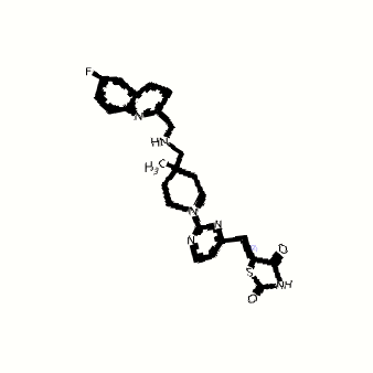 CC1(CNCc2ccc3cc(F)ccc3n2)CCN(c2nccc(/C=C3\SC(=O)NC3=O)n2)CC1